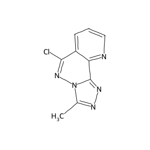 Cc1nnc2c3ncccc3c(Cl)nn12